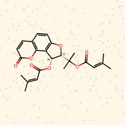 CC(C)=CC(=O)O[C@@H]1c2c(ccc3ccc(=O)oc23)O[C@@H]1C(C)(C)OC(=O)C=C(C)C